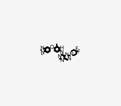 Cc1cc(Nc2ncnc3cnc(N4CCC(F)(F)CC4)nc23)ccc1Oc1ccc2c(c1)ncn2C